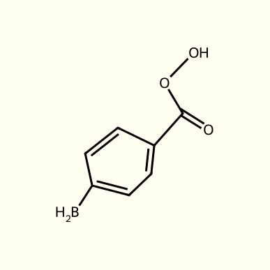 Bc1ccc(C(=O)OO)cc1